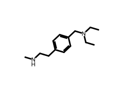 CCN(CC)Cc1ccc(CCNC)cc1